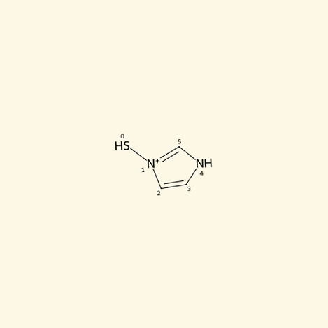 S[n+]1cc[nH]c1